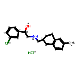 COc1ccc2c(c1)CCC(CNCC(O)c1cccc(Cl)c1)C2.Cl